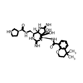 CC1(C)CCOc2c(C(=O)N[C@H]3CN4C(=N)N[C@@H](CNC(=O)[C@H]5CCNC5)[C@@H]5NC(=N)N[C@@]54C3(O)O)cccc21